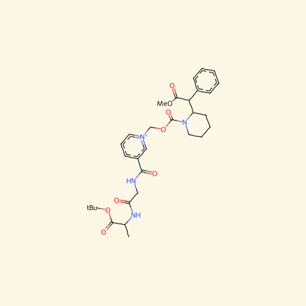 COC(=O)C(c1ccccc1)C1CCCCN1C(=O)OC[n+]1cccc(C(=O)NCC(=O)NC(C)C(=O)OC(C)(C)C)c1